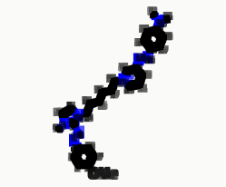 COc1ccc(/N=N/c2n(C)cc[n+]2CCCCCC[n+]2cccc(/N=N/c3ccc(N(C)C)cc3)c2)cc1